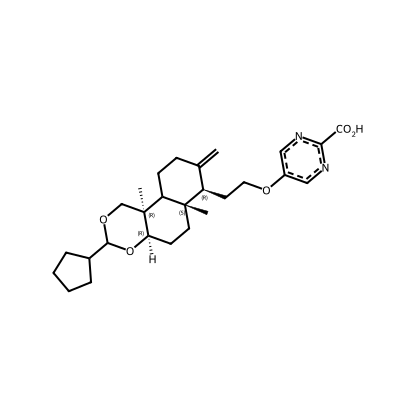 C=C1CCC2[C@]3(C)COC(C4CCCC4)O[C@@H]3CC[C@@]2(C)[C@@H]1CCOc1cnc(C(=O)O)nc1